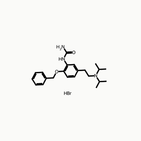 Br.CC(C)N(CCc1ccc(OCc2ccccc2)c(NC(N)=O)c1)C(C)C